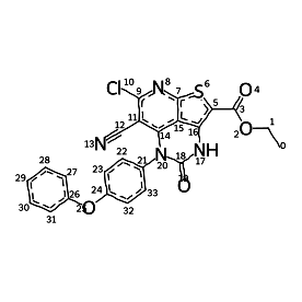 CCOC(=O)c1sc2nc(Cl)c(C#N)c3c2c1NC(=O)N3c1ccc(Oc2ccccc2)cc1